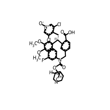 COc1ccc([C@H](Cc2c(Cl)c[n+]([O-])cc2Cl)c2cc(CN(C(=O)O[C@H]3CN4CCC3CC4)c3cccc(F)c3)ccc2C(=O)O)cc1OC